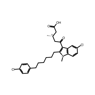 C[C@H](CC(=O)O)CC(=O)c1c(CCCCCCc2ccc(Cl)cc2)n(C)c2ccc(Cl)cc12